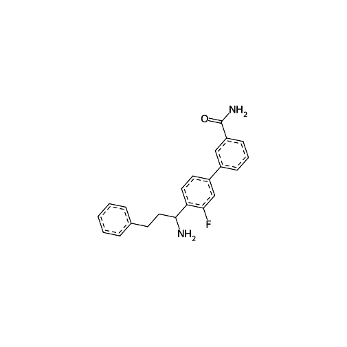 NC(=O)c1cccc(-c2ccc(C(N)CCc3ccccc3)c(F)c2)c1